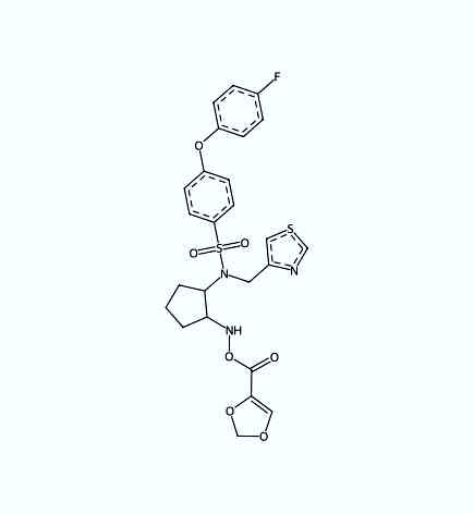 O=C(ONC1CCCC1N(Cc1cscn1)S(=O)(=O)c1ccc(Oc2ccc(F)cc2)cc1)C1=COCO1